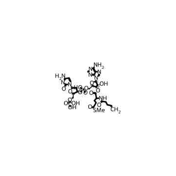 C=CCCC(=O)NC(CCC(=O)SC)C(=O)O[C@H]1[C@@H](O)[C@H](n2cnc3c(N)ncnc32)O[C@@H]1COP(=O)(O)O[C@H]1C[C@H](n2ccc(N)nc2=O)O[C@@H]1COP(=O)(O)O